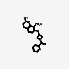 O=C(O)c1c(OC2CN(C(=O)c3ccccn3)C2)ccc2c1OB(O)CC2